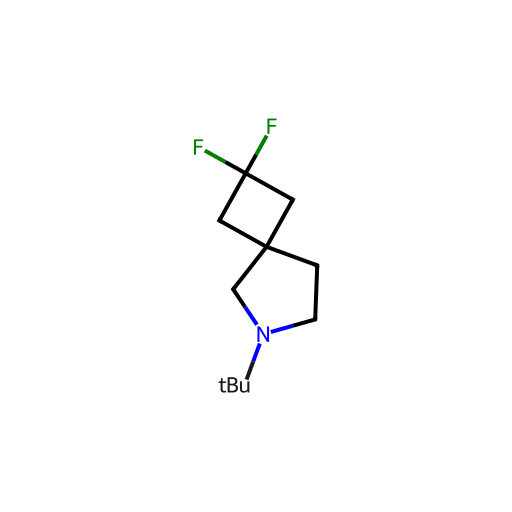 CC(C)(C)N1CCC2(C1)CC(F)(F)C2